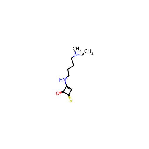 CCN(C)CCCCNc1cc(=S)c1=O